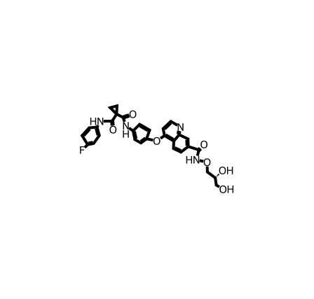 O=C(NOC[C@H](O)CO)c1ccc2c(Oc3ccc(NC(=O)C4(C(=O)Nc5ccc(F)cc5)CC4)cc3)ccnc2c1